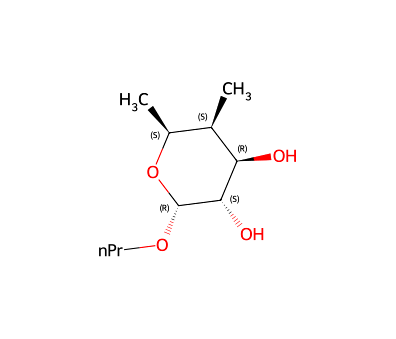 CCCO[C@@H]1O[C@@H](C)[C@@H](C)[C@@H](O)[C@@H]1O